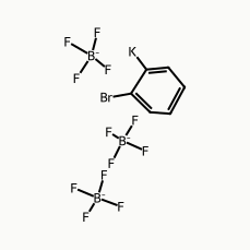 F[B-](F)(F)F.F[B-](F)(F)F.F[B-](F)(F)F.[K][c]1ccccc1Br